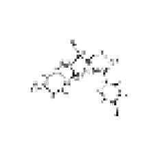 CN(NC(=O)c1ccc(F)cc1)C(=O)c1cc2cc(Cl)ccc2[nH]1